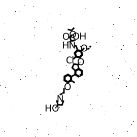 CCOc1cc(O[C@H]2CCc3c(-c4cccc(OCCCN5CC[C@@H](O)C5)c4C)cccc32)c(Cl)cc1CN[C@@](C)(CO)C(=O)OC(C)C